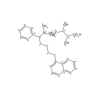 CN(C)C(CCCCc1cccc2ccccc12)c1ccccc1.O=C(O)C(O)C(O)C(=O)O